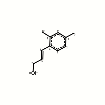 Cc1ccc(/C=C/CO)c(C)c1